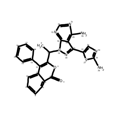 CC(c1oc(=O)c2ccccc2c1-c1ccccc1)n1nc(-c2cnc(N)s2)c2c(N)ncnc21